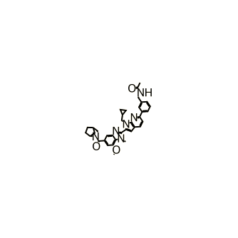 COc1cc(C(=O)N2CC3CCC2C3)cc2nc(-c3cc4ccc(-c5cccc(CNC(C)=O)c5)nc4n3CC3CC3)n(C)c12